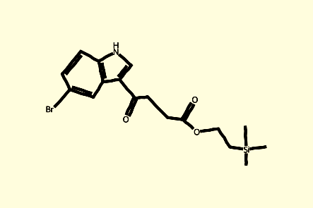 C[Si](C)(C)CCOC(=O)CCC(=O)c1c[nH]c2ccc(Br)cc12